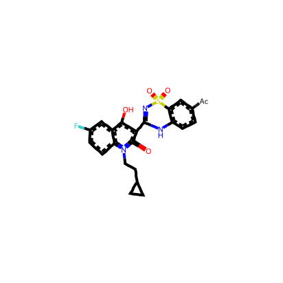 CC(=O)c1ccc2c(c1)S(=O)(=O)N=C(c1c(O)c3cc(F)ccc3n(CCC3CC3)c1=O)N2